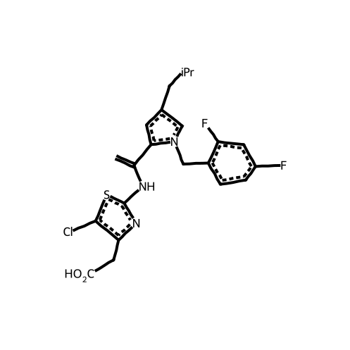 C=C(Nc1nc(CC(=O)O)c(Cl)s1)c1cc(CC(C)C)cn1Cc1ccc(F)cc1F